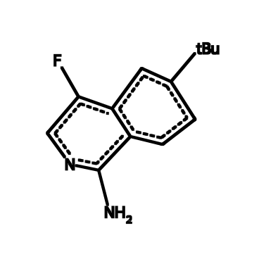 CC(C)(C)c1ccc2c(N)ncc(F)c2c1